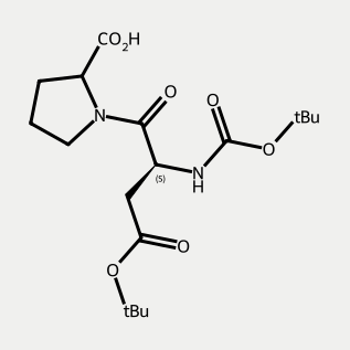 CC(C)(C)OC(=O)C[C@H](NC(=O)OC(C)(C)C)C(=O)N1CCCC1C(=O)O